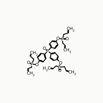 C=CCP(=O)(CC=C)Oc1ccc(P(=O)(c2ccc(OP(=O)(CC=C)CC=C)cc2)c2ccc(OP(=O)(CC=C)CC=C)cc2)cc1